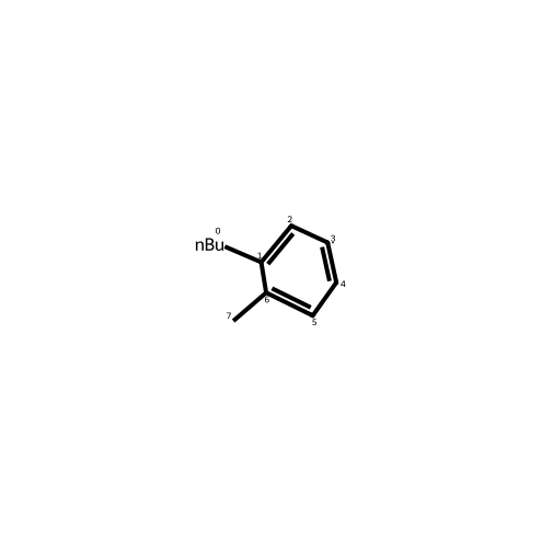 CCCCc1c[c]ccc1C